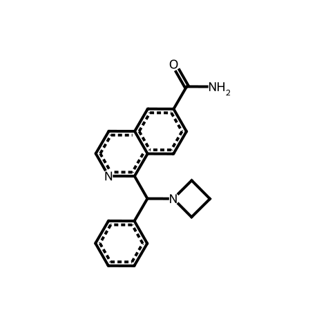 NC(=O)c1ccc2c(C(c3ccccc3)N3CCC3)nccc2c1